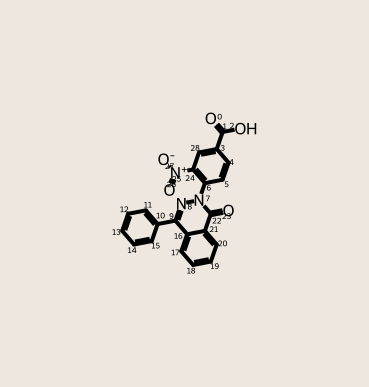 O=C(O)c1ccc(-n2nc(-c3ccccc3)c3ccccc3c2=O)c([N+](=O)[O-])c1